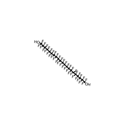 OC(F)(F)C(F)(F)C(F)(F)C(F)(F)C(F)(F)C(F)(F)C(F)(F)C(F)(F)C(F)(F)C(F)(F)C(F)(F)C(F)(F)C(F)(F)C(F)(F)C(F)(F)C(F)(F)C(F)(F)C(F)(F)C(F)(F)C(F)(F)C(O)(F)F